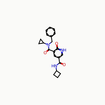 O=C(NC1CCC1)c1c[nH]c(=O)c(C(=O)N(Cc2ccccc2)C2CC2)c1